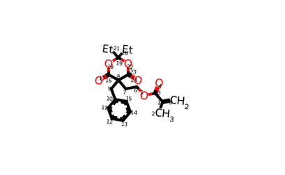 C=C(C)C(=O)OCCC1(Cc2ccccc2)C(=O)OC(CC)(CC)OC1=O